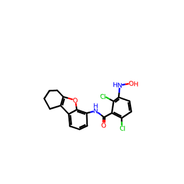 O=C(Nc1cccc2c3c(oc12)CCCC3)c1c(Cl)ccc(NO)c1Cl